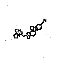 CC1=CCCN1CCc1cc2c(C)c(-c3ccc(C#N)cc3)ccc2o1